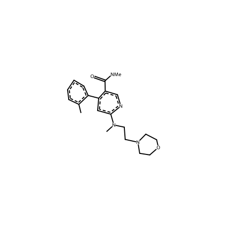 CNC(=O)c1cnc(N(C)CCN2CCOCC2)cc1-c1ccccc1C